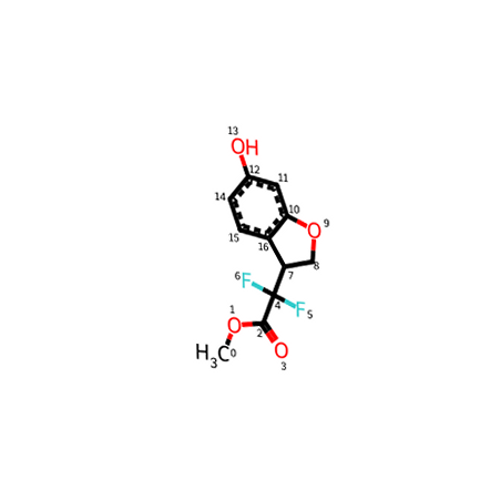 COC(=O)C(F)(F)C1COc2cc(O)ccc21